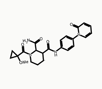 COC1(C(=O)N2CC[CH]C(C(=O)Nc3ccc(-n4ccccc4=O)cc3)C2C(N)=O)CC1